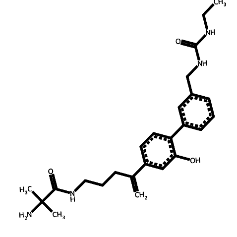 C=C(CCCNC(=O)C(C)(C)N)c1ccc(-c2cccc(CNC(=O)NCC)c2)c(O)c1